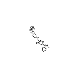 CS(=O)(=O)c1nc2ccc(OCC(=O)NC(Cc3ccccc3)C(N)=O)cc2s1